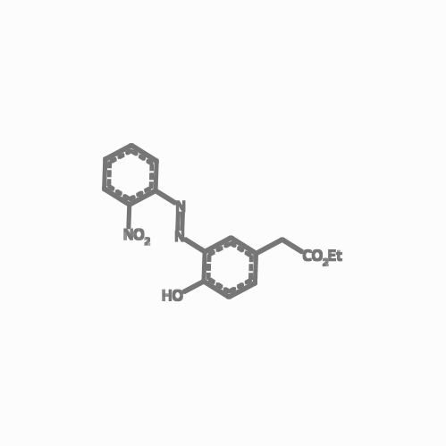 CCOC(=O)Cc1ccc(O)c(N=Nc2ccccc2[N+](=O)[O-])c1